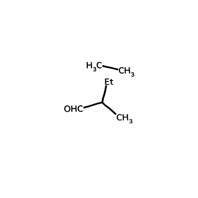 CC.CCC(C)C=O